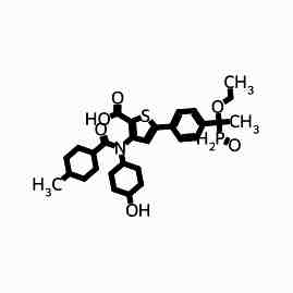 CCOC(C)([PH2]=O)c1ccc(-c2cc(N(C(=O)C3CCC(C)CC3)C3CCC(O)CC3)c(C(=O)O)s2)cc1